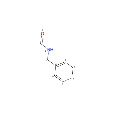 O=CNCC1=CCCC=C1